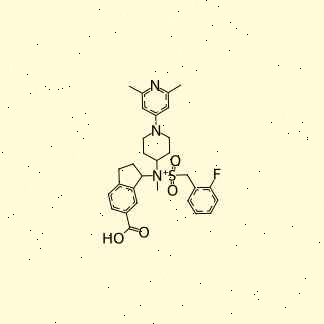 Cc1cc(N2CCC([N+](C)(C3CCc4ccc(C(=O)O)cc43)S(=O)(=O)Cc3ccccc3F)CC2)cc(C)n1